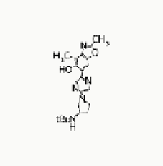 Cc1nc2c(C)c(O)c(-c3cnc(N4CC[C@@H](NC(C)(C)C)C4)cn3)cc2o1